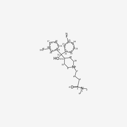 CN(C)C(=O)CCCN1CCC(C(O)(c2cccc(F)c2)c2cccc(F)c2)CC1